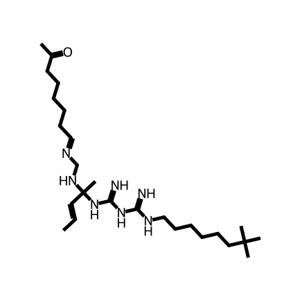 CC=CC(C)(NC/N=C/CCCCCC(C)=O)NC(=N)NC(=N)NCCCCCCC(C)(C)C